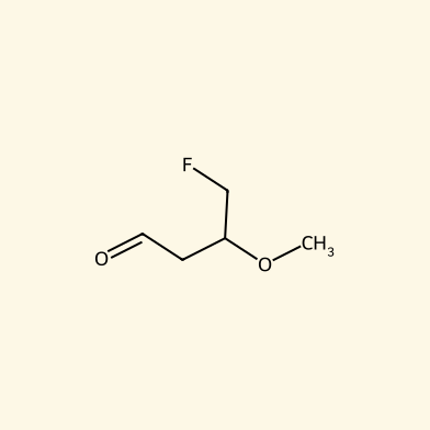 COC(CF)CC=O